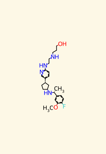 COc1cc([C@@H](C)N[C@H]2CC[C@@H](c3ccc(NCCNCCCO)nc3)C2)ccc1F